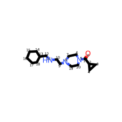 O=C(C1CC1)N1CCN(CCNCC2CCCCC2)CC1